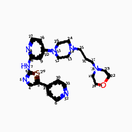 c1cc(-c2cnc(Nc3cc(N4CCN(CCCN5CCOCC5)CC4)ccn3)s2)ccn1